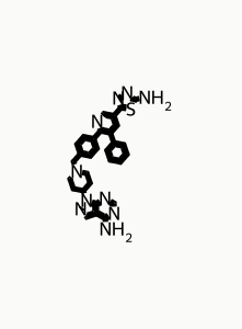 Nc1nnc(-c2cnc(-c3ccc(CN4CCC(n5ncc6c(N)ncnc65)CC4)cc3)c(-c3ccccc3)c2)s1